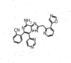 N#Cc1ccccc1-c1nc(N)c2nc(Cc3ncccc3-c3cnco3)nn2c1-c1ccncn1